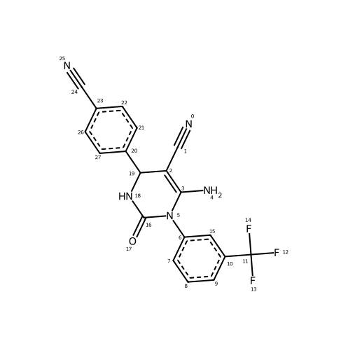 N#CC1=C(N)N(c2cccc(C(F)(F)F)c2)C(=O)NC1c1ccc(C#N)cc1